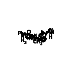 Cn1c(-c2cc3cccc(OCCc4cnn[nH]4)c3n2CC2CC2)nc2cc3c(nc21)CCN(C[C@H](N)CF)C3=O